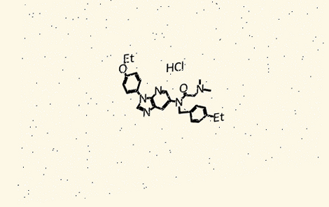 CCOc1ccc(-n2cnc3cc(N(Cc4ccc(CC)cc4)C(=O)CN(C)C)cnc32)cc1.Cl